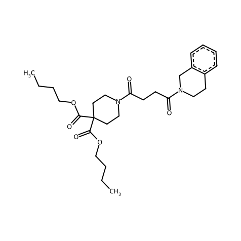 CCCCOC(=O)C1(C(=O)OCCCC)CCN(C(=O)CCC(=O)N2CCc3ccccc3C2)CC1